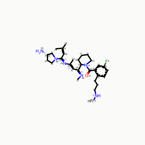 CCCNCCCc1ccc(F)cc1C(=O)N1CCCCC1C(/C=C(C)/N=C(\C=C(C)C)N1CC[C@H](N)C1)=N/C